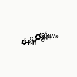 CNC(=S)NS(=O)(=O)c1cc(CC(=O)NC(C)(C)c2cccs2)ccc1C